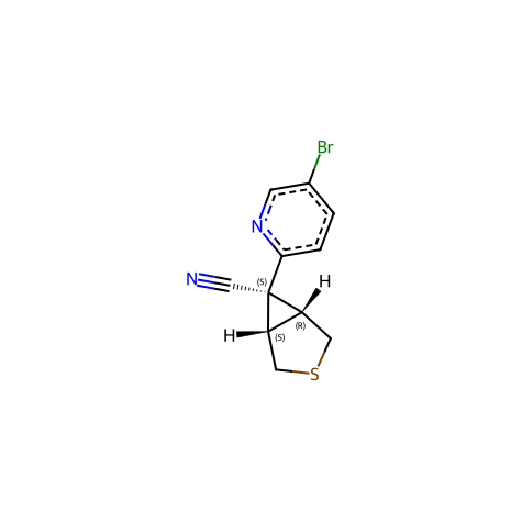 N#C[C@]1(c2ccc(Br)cn2)[C@@H]2CSC[C@@H]21